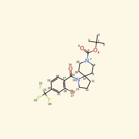 CC(C)(C)OC(=O)N1CCC2(CCCN2C(=O)c2ccc(C(F)(F)F)cc2Br)CC1